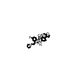 O=C(O)Oc1c(NS(=O)(=O)c2ccc(F)cc2/C=C\CN2CCCC2)ccc2c1OCc1occc1-2